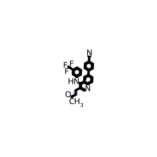 CC(=O)/C=C/c1cnc2ccc(-c3ccc(C#N)cc3)cc2c1Nc1cccc(C(F)(F)F)c1